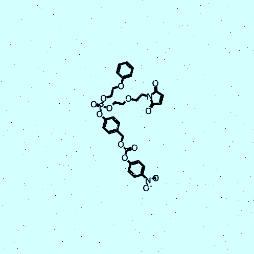 O=C(OCc1ccc(OP(=O)(OCCOCCN2C(=O)C=CC2=O)OCCOc2ccccc2)cc1)Oc1ccc([N+](=O)[O-])cc1